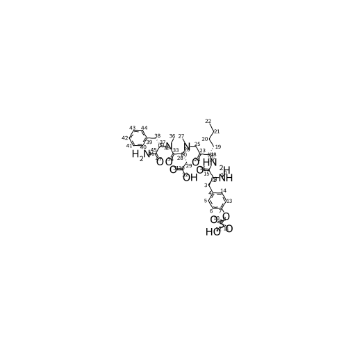 [2H]N[C@@H](Cc1ccc(OS(=O)(=O)O)cc1)C(=O)N[C@@H](CCCC)C(=O)CN(C)[C@H](CC(=O)O)C(=O)N(C)[C@@H](Cc1ccccc1)C(N)=O